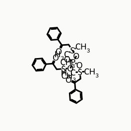 CS(C)(CC(=O)c1ccccc1)OP(=O)(OS(C)(C)CC(=O)c1ccccc1)OS(C)(C)CC(=O)c1ccccc1